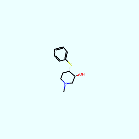 CN1CC[C@H](Sc2ccccc2)[C@@H](O)C1